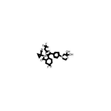 N#CC1(NC(=O)C2CC(F)(F)CCC2c2sc(CC(F)(F)F)nc2-c2ccc(N3CCSC(O)(O)C3)cc2)CC1